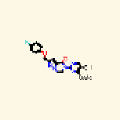 COc1nc(N2CCn3nc(COc4ccc(F)cc4)cc3C2=O)ncc1C